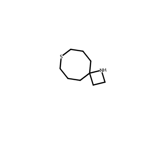 C1CSCCCC2(C1)CCN2